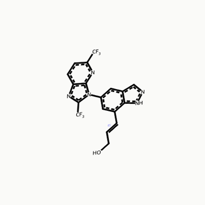 OC/C=C/c1cc(-n2c(C(F)(F)F)nc3ccc(C(F)(F)F)nc32)cc2cn[nH]c12